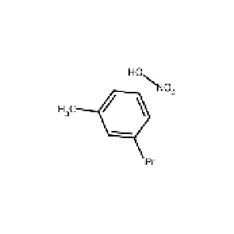 Cc1cccc(C(C)C)c1.O=[N+]([O-])O